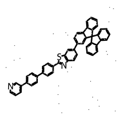 c1cncc(-c2ccc(-c3ccc(-c4nc5ccc(-c6ccc7c(c6)C6(c8ccccc8-c8ccccc86)c6ccccc6-7)cc5s4)cc3)cc2)c1